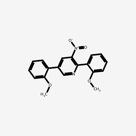 COc1ccccc1-c1cnc(-c2ccccc2OC)c([N+](=O)[O-])c1